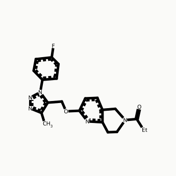 CCC(=O)N1CCc2nc(OCc3c(C)nnn3-c3ccc(F)cc3)ccc2C1